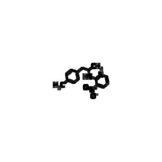 Cc1ccc(CC(C)Nc2ncccc2[N+](=O)[O-])cc1